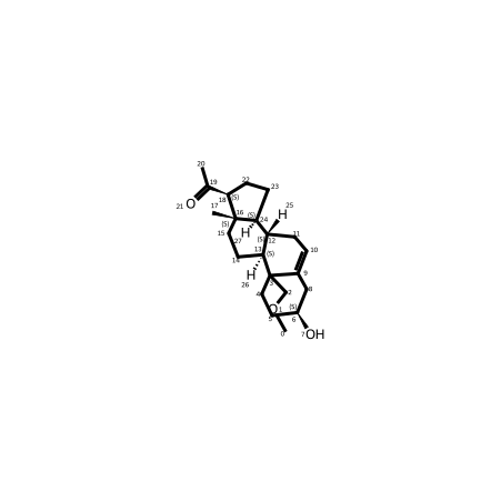 COCC12CC[C@H](O)CC1=CC[C@@H]1[C@@H]2CC[C@]2(C)[C@@H](C(C)=O)CC[C@@H]12